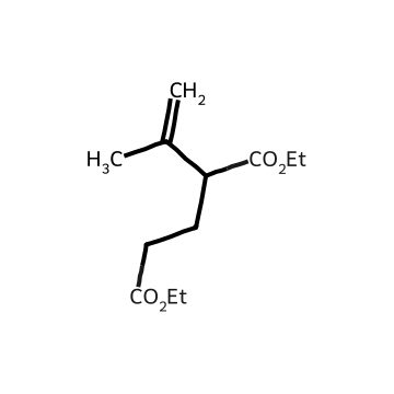 C=C(C)C(CCC(=O)OCC)C(=O)OCC